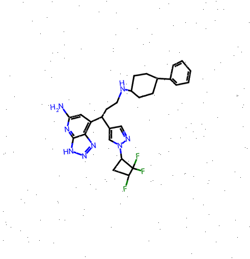 Nc1cc(C(CCNC2CCC(c3ccccc3)CC2)c2cnn(C3CC(F)C3(F)F)c2)c2nn[nH]c2n1